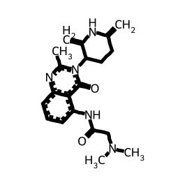 C=C1CCC(n2c(C)nc3cccc(NC(=O)CN(C)C)c3c2=O)C(=C)N1